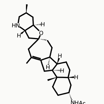 CC(=O)N[C@@H]1CC[C@@]2(C)[C@H](CC[C@H]3[C@@H]4CC[C@]5(CC(C)=C4C[C@@H]32)C[C@@H]2NC[C@@H](C)C[C@H]2O5)C1